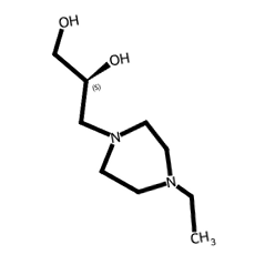 CCN1CCN(C[C@H](O)CO)CC1